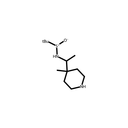 CC(N[S+]([O-])C(C)(C)C)C1(C)CCNCC1